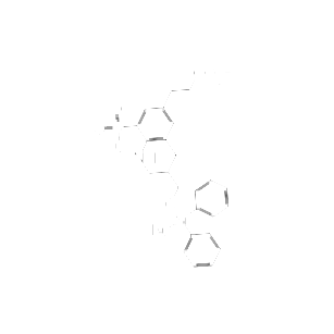 CCOC(=O)CCc1cc2c(c(S(=O)(=O)Cl)c1)NCC(CO[Si](c1ccccc1)(c1ccccc1)C(C)(C)C)C2